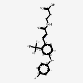 O=C(O)CCNC(=O)/C=C/c1ccc(Sc2ccc(F)cc2)cc1C(F)(F)F